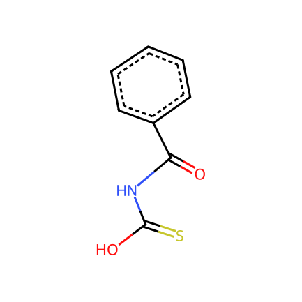 O=C(NC(O)=S)c1ccccc1